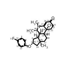 C[C@@H]1[C@H]2[C@@H]3C[C@H](Oc4ccc(F)cc4)C[C@@]3(C)CC[C@@H]2[C@@]2(C)CCC(=O)C=C2N1C